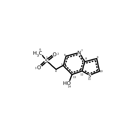 CS(=O)(=O)Cc1cnc2ccsc2c1O